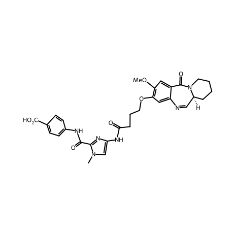 COc1cc2c(cc1OCCCC(=O)Nc1cn(C)c(C(=O)Nc3ccc(C(=O)O)cc3)n1)N=C[C@@H]1CCCCN1C2=O